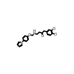 O=C(CCNCOc1ccc(-n2cccc2)cc1)Cc1ccc(Cl)c(Cl)c1